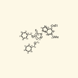 CCOc1nc(SC)nn2c([C@@H]3O[C@H](COCc4ccccc4)[C@@H](OCc4ccccc4)[C@H]3F)cnc12